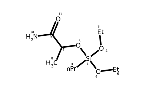 CCC[Si](OCC)(OCC)OC(C)C(N)=O